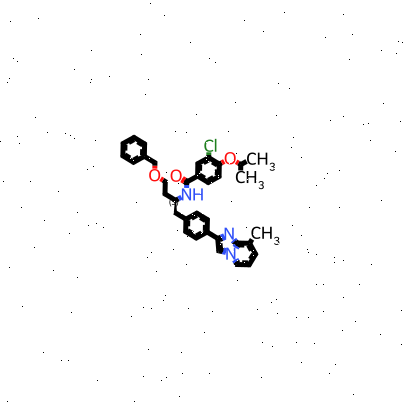 Cc1cccn2cc(-c3ccc(C[C@@H](CCOCc4ccccc4)NC(=O)c4ccc(OC(C)C)c(Cl)c4)cc3)nc12